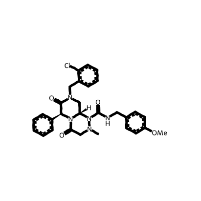 COc1ccc(CNC(=O)N2[C@H]3CN(Cc4ccccc4Cl)C(=O)[C@H](c4ccccc4)N3C(=O)CN2C)cc1